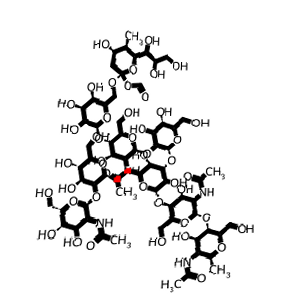 CC(=O)NC1C(O)[C@H](O)[C@H](CO)O[C@H]1OC1[C@@H](OCC2O[C@@H](O[C@@H]3C(CO)O[C@@H](O[C@@H]4C(CO)O[C@@H](C)C(NC(C)=O)[C@H]4O)C(NC(C)=O)[C@H]3O)C(O)[C@@H](O[C@H]3OC(CO)[C@@H](O)C(O)C3O[C@@H]3OC(CO)[C@@H](O[C@@H]4OC(CO[C@]5(OC=O)C[C@@H](O)[C@@H](C)C(C(O)C(O)CO)O5)[C@H](O)[C@H](O)C4O)[C@H](O)C3NC(C)=O)[C@@H]2O)OC(CO)[C@@H](O)[C@@H]1O